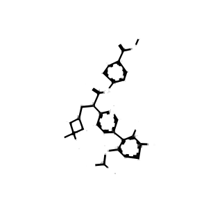 COC(=O)c1ccc(NC(=O)C(CC2CC(F)(F)C2)c2ccc(-c3c(OC(F)F)ccc(Cl)c3F)cn2)cc1